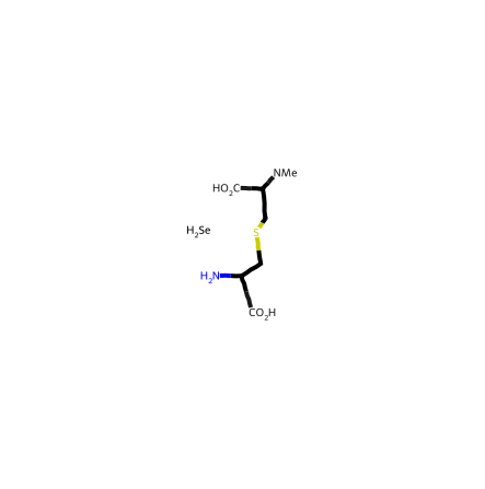 CNC(CSCC(N)C(=O)O)C(=O)O.[SeH2]